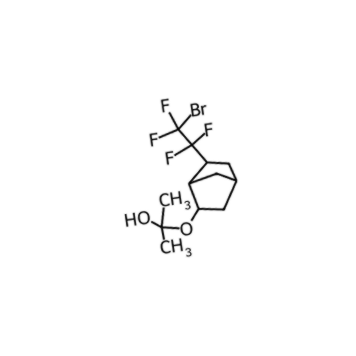 CC(C)(O)OC1CC2CC1C(C(F)(F)C(F)(F)Br)C2